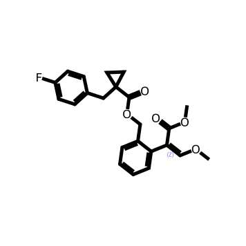 CO/C=C(\C(=O)OC)c1ccccc1COC(=O)C1(Cc2ccc(F)cc2)CC1